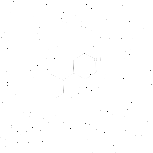 CCN(C)C1CCNCC1